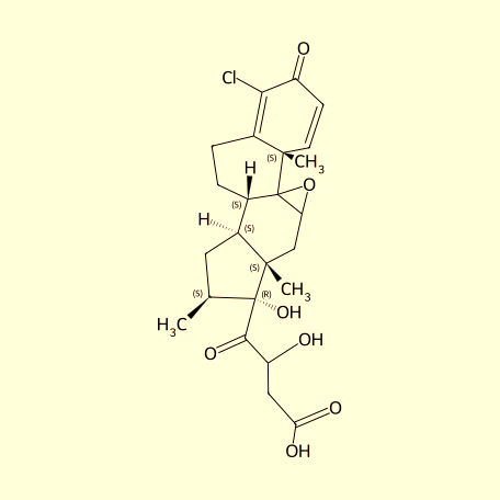 C[C@H]1C[C@H]2[C@@H]3CCC4=C(Cl)C(=O)C=C[C@]4(C)C34OC4C[C@]2(C)[C@@]1(O)C(=O)C(O)CC(=O)O